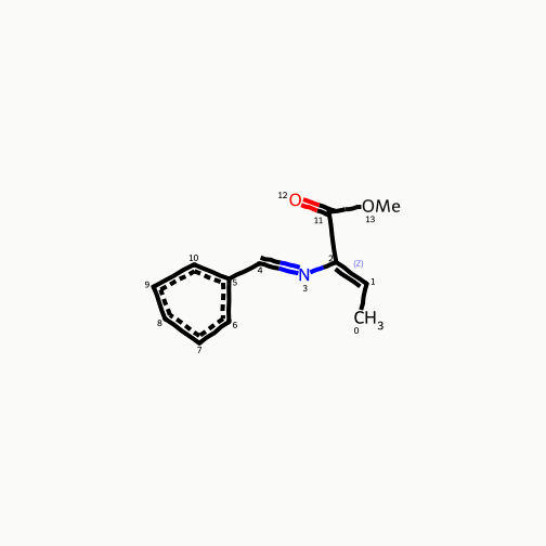 C/C=C(\N=Cc1ccccc1)C(=O)OC